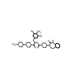 Cc1c(Cl)cc(CC(OC(=O)N2CCC(N3CCc4ccccc4NC3=O)CC2)C(=O)N2CCN(C3CCN(C)CC3)CC2)cc1Cl